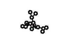 c1ccc(-c2ccc(-c3ccc(N(c4ccc(-c5cc6ccccc6c6ccccc56)cc4)c4ccccc4-c4cccc5oc6c7ccccc7ccc6c45)cc3)cc2-c2ccccc2)cc1